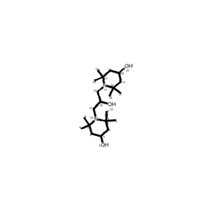 CC1(C)CC(O)CC(C)(C)N1CC(O)CN1C(C)(C)CC(O)CC1(C)C